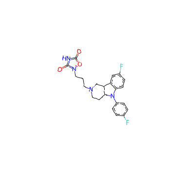 O=c1[nH]c(=O)n(CCCN2CCC3C(C2)c2cc(F)ccc2N3c2ccc(F)cc2)o1